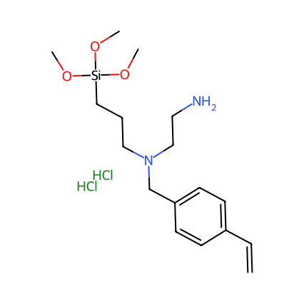 C=Cc1ccc(CN(CCN)CCC[Si](OC)(OC)OC)cc1.Cl.Cl